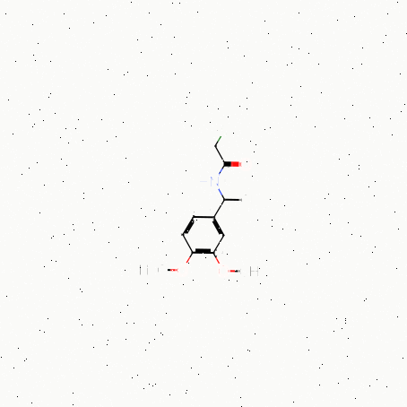 COc1ccc(C(C)NC(=O)CCl)cc1OC